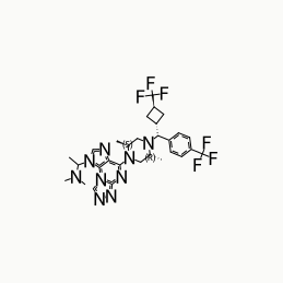 CC(N(C)C)n1cnc2c(N3C[C@@H](C)N(C(c4ccc(C(F)(F)F)cc4)[C@H]4C[C@H](C(F)(F)F)C4)C[C@@H]3C)nc3nncn3c21